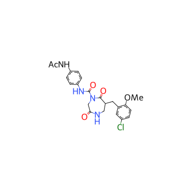 COc1ccc(Cl)cc1CC1CNC(=O)CN(C(=O)Nc2ccc(NC(C)=O)cc2)C1=O